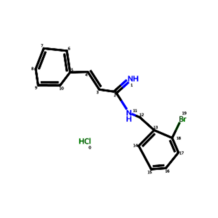 Cl.N=C(/C=C/c1ccccc1)NCc1ccccc1Br